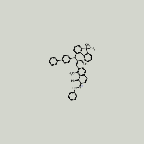 C=C/C(=C\c1ccc2c(c1C)C(=N)/C(=N\Nc1ccccc1)C=C2)N(c1ccc(-c2ccccc2)cc1)c1cccc2c1-c1ccccc1C2(C)C